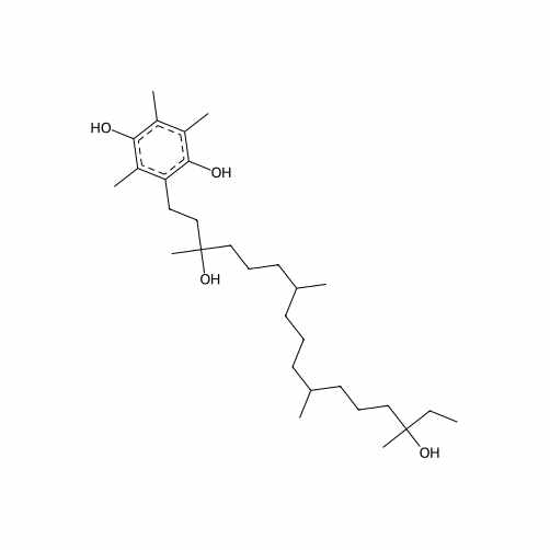 CCC(C)(O)CCCC(C)CCCC(C)CCCC(C)(O)CCc1c(C)c(O)c(C)c(C)c1O